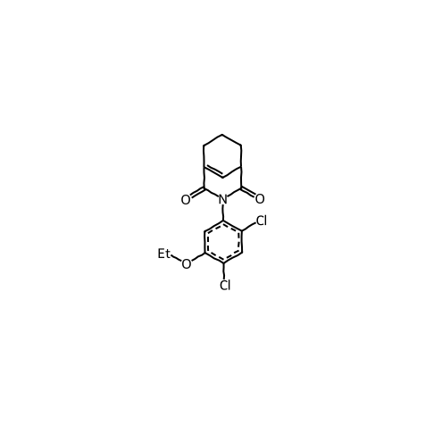 CCOc1cc(N2C(=O)C3=CC(CCC3)C2=O)c(Cl)cc1Cl